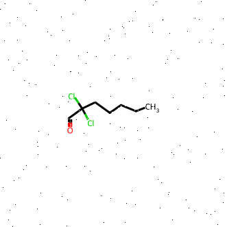 CCCCCC(Cl)(Cl)C=O